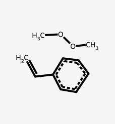 C=Cc1ccccc1.COOC